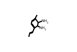 C/C=C/C1=CC=C(C)C(N)C1N